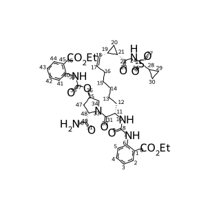 CCOC(=O)c1ccccc1NC(=O)N[C@@H](CCCCC/C=C\[C@@H]1C[C@@H]1C(=O)NS(=O)(=O)C1CC1)C(=O)N1C[C@H](OC(=O)Nc2ccccc2C(=O)OCC)C[C@H]1C(N)=O